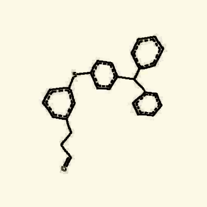 O=CCCc1cccc(Sc2ccc(C(c3ccccc3)c3ccccc3)cc2)c1